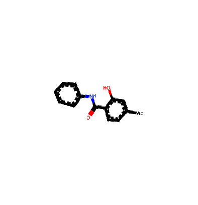 CC(=O)c1ccc(C(=O)Nc2ccccc2)c(O)c1